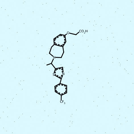 CC(c1cnc(-c2ccc(C(F)(F)F)cc2)s1)N1CCc2ccc(OCC(=O)O)cc2CC1